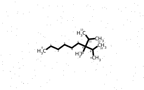 CCCCCCC(P)(C(C)C)C(C)C